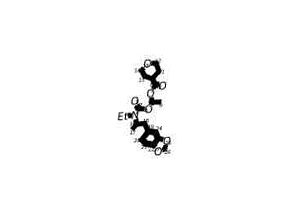 CCN(C(=O)OC(C)OC(=O)C1CCOCC1)C(C)Cc1ccc2c(c1)OCO2